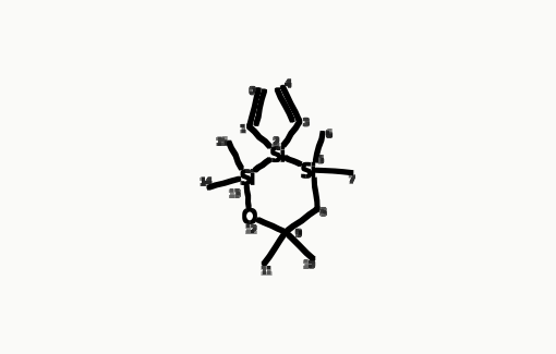 C=C[Si]1(C=C)[Si](C)(C)CC(C)(C)O[Si]1(C)C